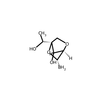 B[C@@H]1O[C@@]2(C(C)O)CO[C@@H]1[C@@H]2O